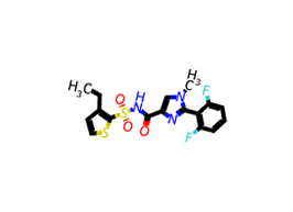 CCc1ccsc1S(=O)(=O)NC(=O)c1cn(C)c(-c2c(F)cccc2F)n1